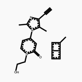 C#Cc1nc(C)n(-c2ccn(CCO)c(=O)c2)c1C.Cc1cc2ccc1-2